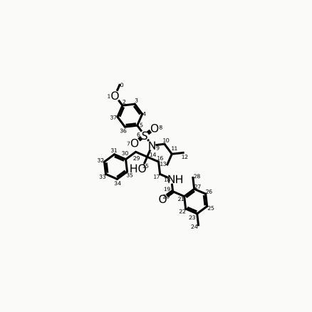 COc1ccc(S(=O)(=O)N(CC(C)C)C(O)(CCNC(=O)c2cc(C)ccc2C)Cc2ccccc2)cc1